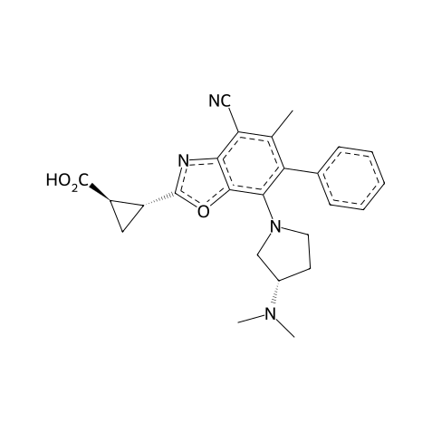 Cc1c(-c2ccccc2)c(N2CC[C@H](N(C)C)C2)c2oc([C@@H]3C[C@H]3C(=O)O)nc2c1C#N